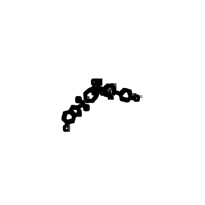 O=C(c1cnc(-c2cc[n+]([O-])cc2)nc1)N1C2CN(S(=O)(=O)c3cc4ccc(Cl)cc4s3)CC1C(O)C2O